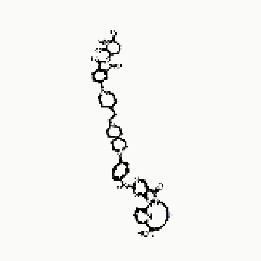 C[C@@]1(O)CC/C=C\Cn2c(=O)c3cnc(Nc4ccc(N5CCC6(CCN(CCC7CCN(c8ccc9c(c8)C(=O)N(C8CCC(=O)NC8=O)C9=O)CC7)CC6)CC5)cc4)nc3n2-c2cccc1n2